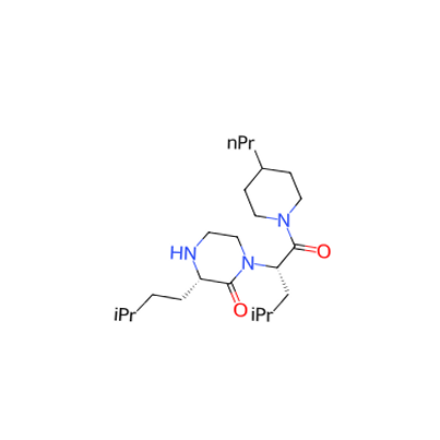 CCCC1CCN(C(=O)[C@H](CC(C)C)N2CCN[C@@H](CCC(C)C)C2=O)CC1